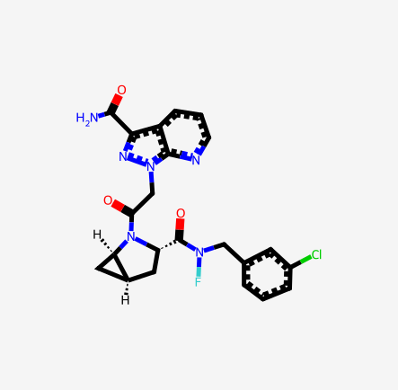 NC(=O)c1nn(CC(=O)N2[C@@H]3C[C@@H]3C[C@H]2C(=O)N(F)Cc2cccc(Cl)c2)c2ncccc12